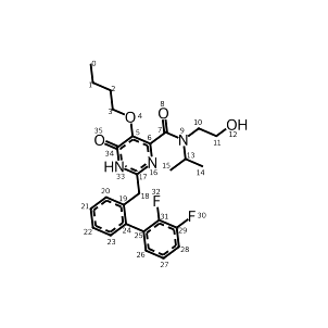 CCCCOc1c(C(=O)N(CCO)C(C)C)nc(Cc2ccccc2-c2cccc(F)c2F)[nH]c1=O